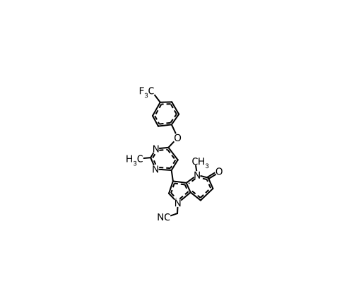 Cc1nc(Oc2ccc(C(F)(F)F)cc2)cc(-c2cn(CC#N)c3ccc(=O)n(C)c23)n1